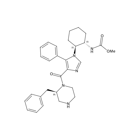 COC(=O)N[C@H]1CCCC[C@@H]1n1cnc(C(=O)N2CCNC[C@H]2Cc2ccccc2)c1-c1ccccc1